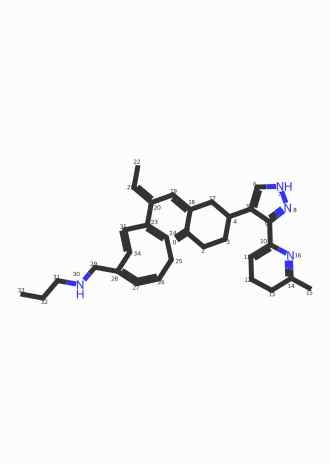 C=C1CCC(c2c[nH]nc2C2=CCCC(C)=N2)C/C1=C/C(=C\C)C1=C/CC=C=C(CNCCC)\C=C\1